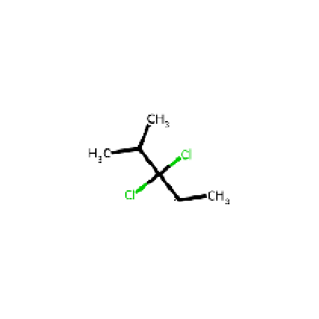 C[CH]C(Cl)(Cl)C(C)C